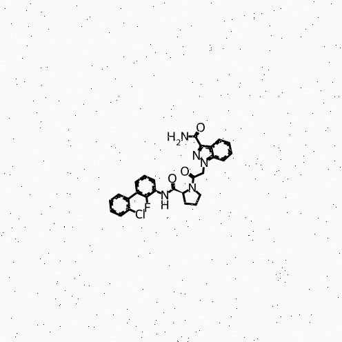 NC(=O)c1nn(CC(=O)N2CCC[C@H]2C(=O)Nc2cccc(-c3ccccc3Cl)c2F)c2ccccc12